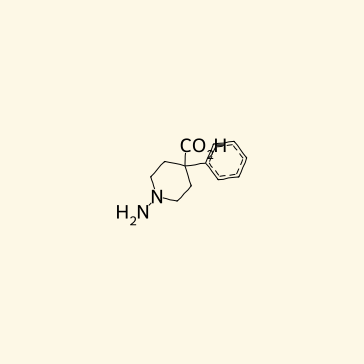 NN1CCC(C(=O)O)(c2ccccc2)CC1